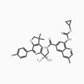 Cc1cnc2c(NC(=O)OC3CC3)cc(C(=O)NC[C@](O)(c3cc4c(c(-c5ccc(F)cc5)n3)OCC4(C)C)C(F)(F)F)cc2c1